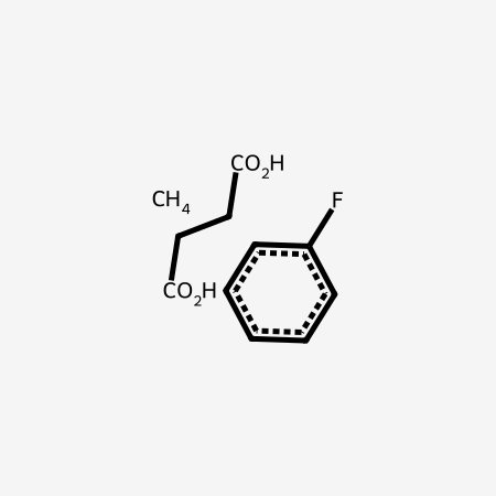 C.Fc1ccccc1.O=C(O)CCC(=O)O